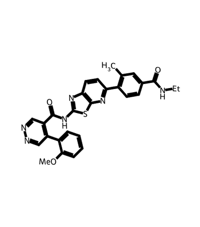 CCNC(=O)c1ccc(-c2ccc3nc(NC(=O)c4cnncc4-c4ccccc4OC)sc3n2)c(C)c1